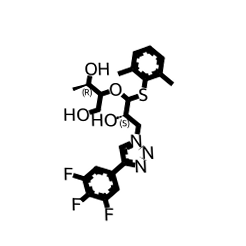 Cc1cccc(C)c1SC(OC(CO)[C@@H](C)O)[C@@H](O)Cn1cc(-c2cc(F)c(F)c(F)c2)nn1